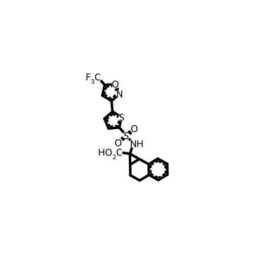 O=C(O)C1(NS(=O)(=O)c2ccc(-c3cc(C(F)(F)F)on3)s2)C2CCc3ccccc3C21